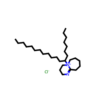 CCCCCCCCCCCCC(CCCCCCC)[N+]12CCCCCC1=NCCC2.[Cl-]